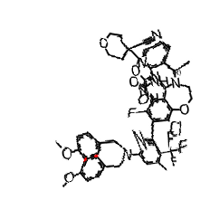 COc1ccc(CN(Cc2ccc(OC)cc2)c2cc(C)c(C(F)(F)F)c(-c3c(Cl)c4c5c(nc(OCC6(C#N)CCOCC6)nc5c3F)N([C@H](C)c3cccnc3NC(=O)O)CCO4)n2)cc1